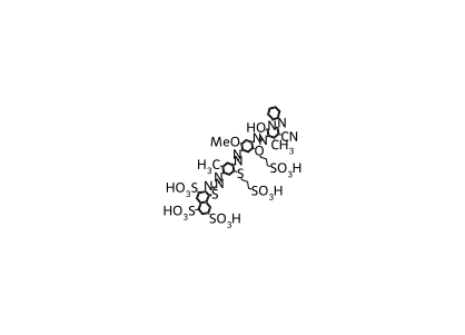 COc1cc(N=Nc2c(C)c(C#N)c3nc4ccccc4n3c2O)c(OCCCS(=O)(=O)O)cc1N=Nc1cc(C)c(N=Nc2nc3c(S(=O)(=O)O)cc4c(S(=O)(=O)O)cc(S(=O)(=O)O)cc4c3s2)cc1SCCCS(=O)(=O)O